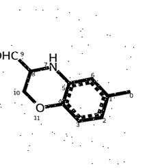 Cc1ccc2c(c1)NC(C=O)CO2